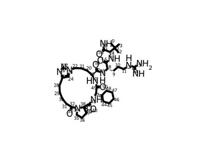 CC(C)(C)[C@H](NC(=O)[C@H](CCCNC(=N)N)NC(=O)[C@@H]1CCCn2cc(nn2)CCCCC(=O)N2CCC[C@H]2C(=O)N[C@@H](C2CCCCC2)C(=O)N1)C(N)=O